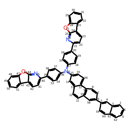 c1ccc2cc(-c3ccc4c(ccc5cc(N(c6ccc(-c7ccc8c(n7)oc7ccccc78)cc6)c6ccc(-c7ccc8c(n7)oc7ccccc78)cc6)ccc54)c3)ccc2c1